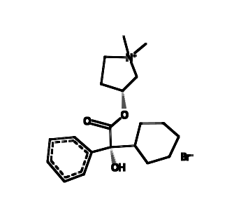 C[N+]1(C)CC[C@@H](OC(=O)[C@](O)(c2ccccc2)C2CCCCC2)C1.[Br-]